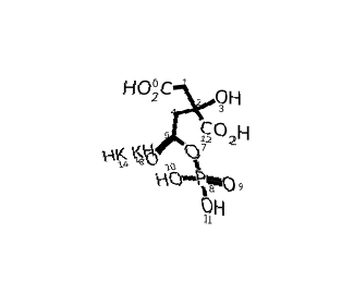 O=C(O)CC(O)(CC(=O)OP(=O)(O)O)C(=O)O.[KH].[KH]